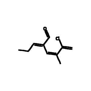 C=C(Cl)/C(C)=C\C(C=O)=C/CC